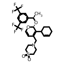 C[C@@H](O[C@H]1OC=CC(CN2CCS(=O)(=O)CC2)=C1C1C=CCCC1)c1cc(C(F)(F)F)cc(C(F)(F)F)c1